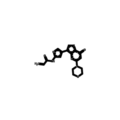 C=CC(=O)Nc1cc(-c2csc3c(=O)cc(N4CCOCC4)oc23)co1